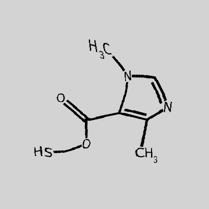 Cc1ncn(C)c1C(=O)OS